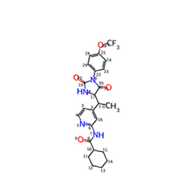 CC(c1ccnc(NC(=O)C2CCCCC2)c1)C1NC(=O)N(c2ccc(OC(F)(F)F)cc2)C1=O